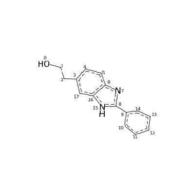 OCCc1ccc2nc(-c3ccccc3)[nH]c2c1